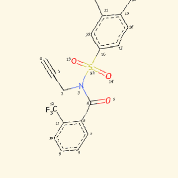 C#CCN(C(=O)c1ccccc1C(F)(F)F)S(=O)(=O)c1ccc(C)c(C)c1